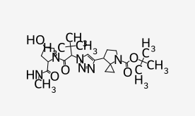 CNC(=O)C1CC(O)CN1C(=O)C(n1cc(C2CCN(C(=O)OC(C)(C)C)C23CC3)nn1)C(C)(C)C